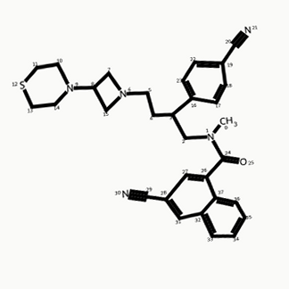 CN(CC(CCN1CC(N2CCSCC2)C1)c1ccc(C#N)cc1)C(=O)c1cc(C#N)cc2ccccc12